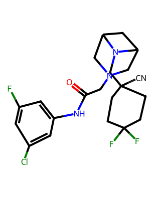 N#CC1(CN2C3CC2CN(CC(=O)Nc2cc(F)cc(Cl)c2)C3)CCC(F)(F)CC1